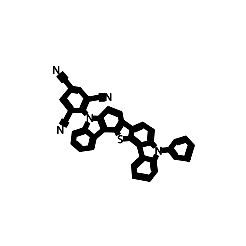 N#Cc1cc(C#N)c(-n2c3ccccc3c3c4sc5c(ccc6c5c5ccccc5n6-c5ccccc5)c4ccc32)c(C#N)c1